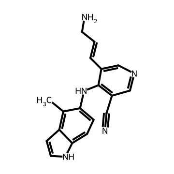 Cc1c(Nc2c(C#N)cncc2C=CCN)ccc2[nH]ccc12